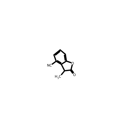 CC1C(=O)Oc2cccc(C#N)c21